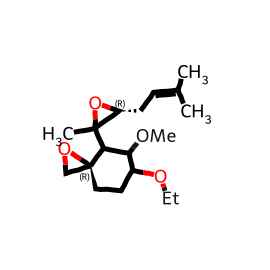 CCOC1CC[C@]2(CO2)C(C2(C)O[C@@H]2CC=C(C)C)C1OC